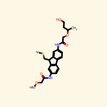 [2H]SCC1c2cc(NC(=O)COCCCC)ccc2-c2ccc(NC(=O)COC(C)CCO)cc21